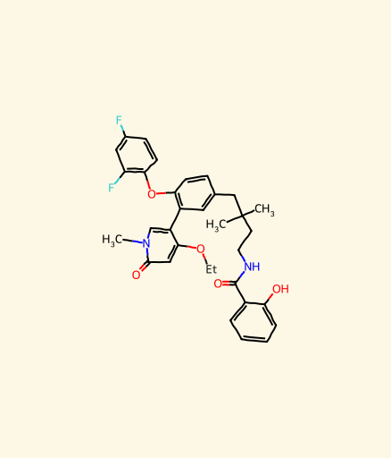 CCOc1cc(=O)n(C)cc1-c1cc(CC(C)(C)CCNC(=O)c2ccccc2O)ccc1Oc1ccc(F)cc1F